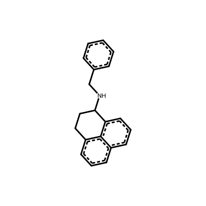 c1ccc(CNC2CCc3cccc4cccc2c34)cc1